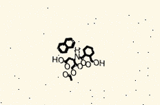 CC(=O)OCC(=O)C(CC(=O)O)NC(=O)C1CCCCC1C(=O)O.c1ccc2ccccc2c1